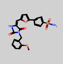 COc1ccccc1CN1C(=O)N/C(=C/c2ccc(-c3ccc(S(N)(=O)=O)cc3)o2)C1=O